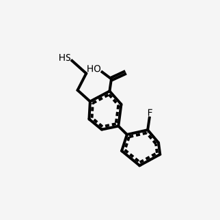 C=C(O)c1cc(-c2ccccc2F)ccc1CCS